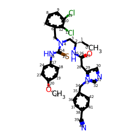 CC[C@@H](CN(Cc1cccc(Cl)c1Cl)C(=S)Nc1ccc(OC)cc1)NC(=O)Cc1cncn1Cc1ccc(C#N)cc1